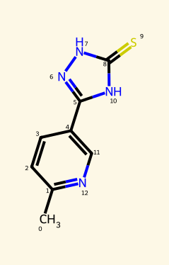 Cc1ccc(-c2n[nH]c(=S)[nH]2)cn1